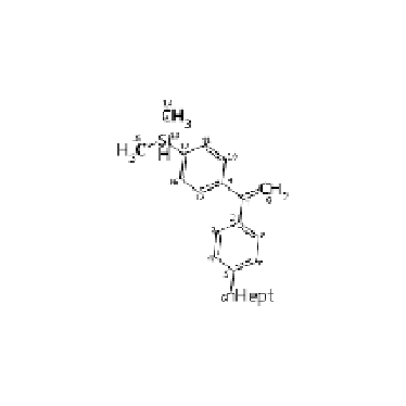 C=C(c1ccc(CCCCCCC)cc1)c1ccc([SiH](C)C)cc1